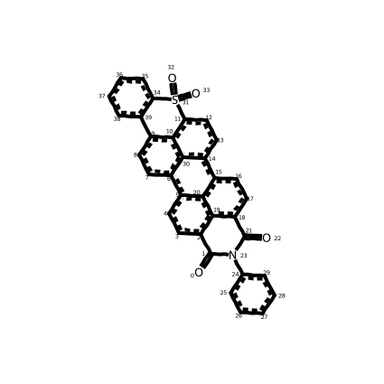 O=C1c2ccc3c4ccc5c6c(ccc(c7ccc(c2c37)C(=O)N1c1ccccc1)c64)S(=O)(=O)c1ccccc1-5